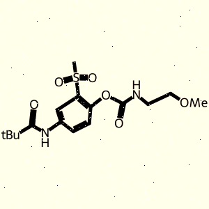 COCCNC(=O)Oc1ccc(NC(=O)C(C)(C)C)cc1S(C)(=O)=O